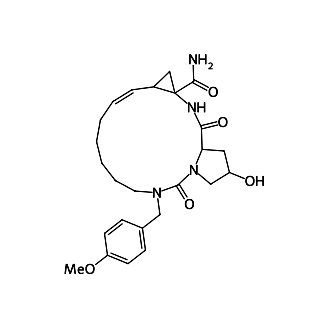 COc1ccc(CN2CCCCCC=CC3CC3(C(N)=O)NC(=O)C3CC(O)CN3C2=O)cc1